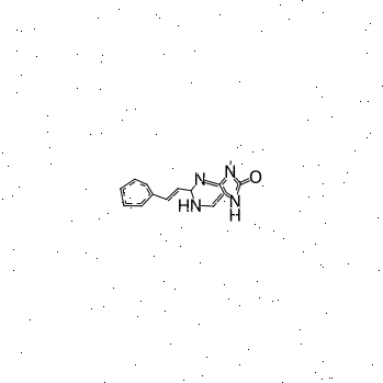 Cn1c(=O)[nH]c2c1=NC(/C=C/c1ccccc1)NC=2